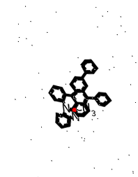 Cc1nc2ccccc2n1-c1ccccc1-c1c2ccccc2c(-c2ccccc2)c2cc(-c3ccccc3)ccc12